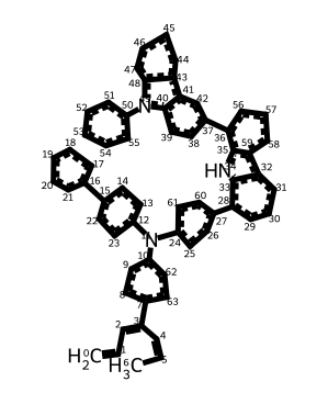 C=C/C=C(\C=C/C)c1ccc(N(c2ccc(-c3ccccc3)cc2)c2ccc(-c3cccc4c3[nH]c3c(-c5ccc6c(c5)c5ccccc5n6-c5ccccc5)cccc34)cc2)cc1